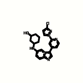 OC1CCCC(Nc2ccc3ncc(-c4ccnc(-n5ccc(Cl)n5)c4)n3c2)C1